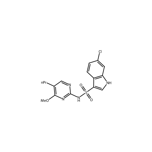 CCCc1cnc(NS(=O)(=O)c2c[nH]c3cc(Cl)ccc23)nc1OC